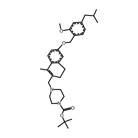 COc1cc(CC(C)C)ccc1COc1ccc2c(c1)CCC(CN1CCN(C(=O)OC(C)(C)C)CC1)=C2C